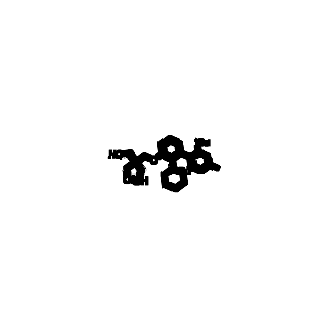 Cc1cc(C(C)(C)C)c(-c2cccc(OCC(CO)(CO)CO)c2C2CCCCC2)c(C(C)(C)C)c1